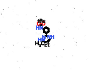 CCC1(C)C=CNC([C@H]2CCC[C@@H](NC(=O)OC(C)(C)C)C2)=NN1